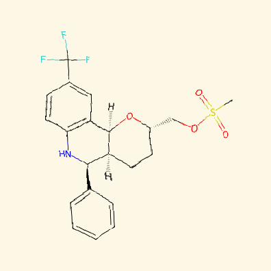 CS(=O)(=O)OC[C@@H]1CC[C@H]2[C@@H](c3ccccc3)Nc3ccc(C(F)(F)F)cc3[C@H]2O1